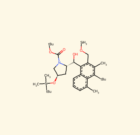 Cc1c(CO[SiH3])c(C(O)[C@@H]2C[C@@H](O[Si](C)(C)C(C)(C)C)CN2C(=O)OC(C)(C)C)c2cccc(C)c2c1C(C)(C)C